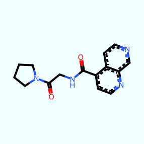 O=C(NCC(=O)N1CCCC1)c1ccnc2cnccc12